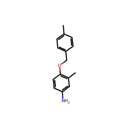 Cc1ccc(COc2ccc(N)cc2C)cc1